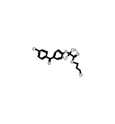 CC(C)(Oc1ccc(C(=O)c2ccc(Cl)cc2)cc1)C(=O)OCCCCl